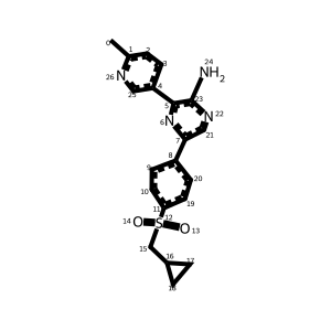 Cc1ccc(-c2nc(-c3ccc(S(=O)(=O)CC4CC4)cc3)cnc2N)cn1